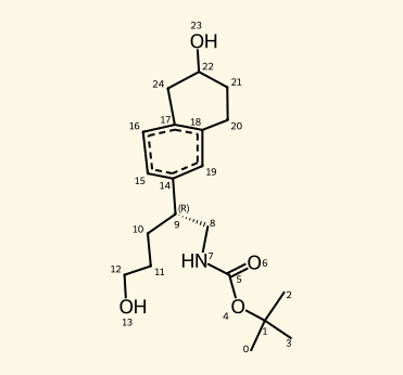 CC(C)(C)OC(=O)NC[C@H](CCCO)c1ccc2c(c1)CCC(O)C2